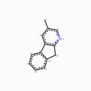 Cc1cnc2c(c1)-c1ccccc1C2